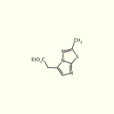 CCOC(=O)Cc1cnc2sc(C)nn12